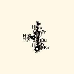 CCC[C@H](NC(=O)[C@@H]1C2C(CN1C(=O)[C@@H](NC(=O)NC1(CS(=O)(=O)C(C)(C)C)CCCCC1)C(C)(C)C)C2(C)C)C(=O)C(=O)NC1CC1